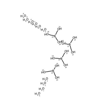 O.O.O.O.O.O.O.O.O.O.OB(O)O.OB(O)O.OB(O)O.OB(O)O